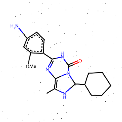 COc1cc(N)ccc1C1=NC2=C(C)NC(C3CCCCC3)N2C(=O)N1